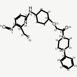 O=Nc1ccc(NC2CCC(OCC(=O)N3CCN(c4ccccc4)CC3)CC2)nc1CF